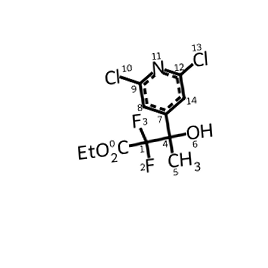 CCOC(=O)C(F)(F)C(C)(O)c1cc(Cl)nc(Cl)c1